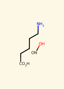 NCCCCC(=O)O.O=NO